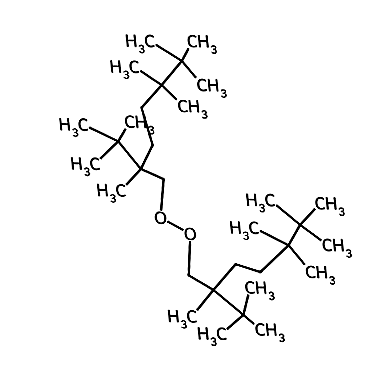 CC(C)(C)C(C)(C)CCC(C)(COOCC(C)(CCC(C)(C)C(C)(C)C)C(C)(C)C)C(C)(C)C